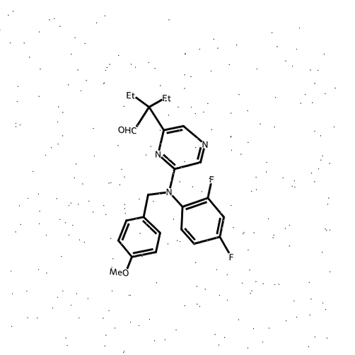 CCC(C=O)(CC)c1cncc(N(Cc2ccc(OC)cc2)c2ccc(F)cc2F)n1